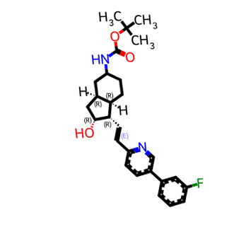 CC(C)(C)OC(=O)NC1CC[C@@H]2[C@H](C1)C[C@@H](O)[C@H]2/C=C/c1ccc(-c2cccc(F)c2)cn1